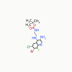 CC(C)(C)OC(=O)NCCNc1c(N)cnc2c(F)c(Br)c(Cl)cc12